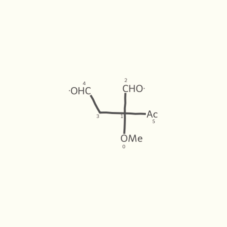 COC([C]=O)(C[C]=O)C(C)=O